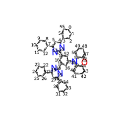 c1ccc(-c2cc(-c3ccccc3)nc(-c3cc(-c4nc(-c5ccccc5)cc(-c5ccccc5)n4)cc(N4c5ccccc5Oc5ccccc54)c3)n2)cc1